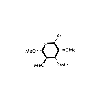 CO[C@@H]1O[C@H](C(C)=O)[C@@H](OC)[C@H](OC)[C@H]1OC